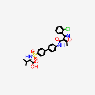 Cc1onc(-c2ccccc2Cl)c1C(=O)Nc1ccc(-c2ccc(S(=O)(=O)N[C@H](C(=O)O)C(C)C)cc2)cc1